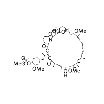 CO[C@H]1C[C@@H]2CC[C@@H](C)[C@@](O)(O2)C(=O)C(=O)N2CCCCC2C(=O)O[C@H]([C@H](C)C[C@@H]2CC[C@@H](OP(C)(=O)OC)[C@H](OC)C2)CC(=O)[C@H](C)/C=C(\C)[C@@H](O)[C@@H](OC)C(=O)[C@H](C)C[C@H](C)/C=C/C=C/C=C/1C